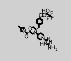 CC1CN(C(=O)[C@H]2CN(C3CCN(c4nnc(N)[nH]4)CC3)[C@@H](Cc3ccc(Cl)cc3)CO2)C1.O=C(O)C(F)(F)F